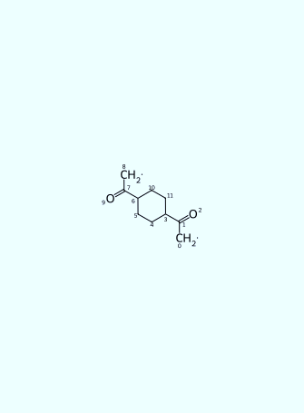 [CH2]C(=O)C1CCC(C([CH2])=O)CC1